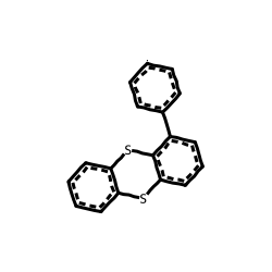 [c]1ccc(-c2cccc3c2Sc2ccccc2S3)cc1